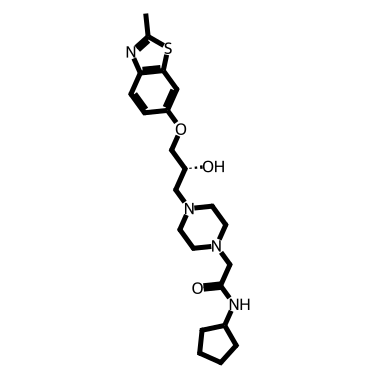 Cc1nc2ccc(OC[C@H](O)CN3CCN(CC(=O)NC4CCCC4)CC3)cc2s1